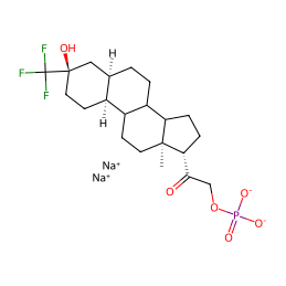 C[C@]12CCC3C(CC[C@@H]4C[C@@](O)(C(F)(F)F)CC[C@H]34)C1CC[C@@H]2C(=O)COP(=O)([O-])[O-].[Na+].[Na+]